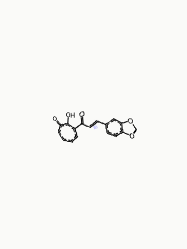 O=C(/C=C/c1ccc2c(c1)OCO2)c1ccccc(=O)c1O